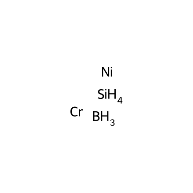 B.[Cr].[Ni].[SiH4]